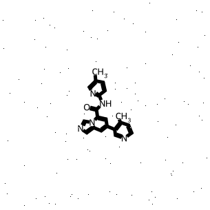 Cc1ccc(NC(=O)c2cc(-c3cnccc3C)cc3cncn23)nc1